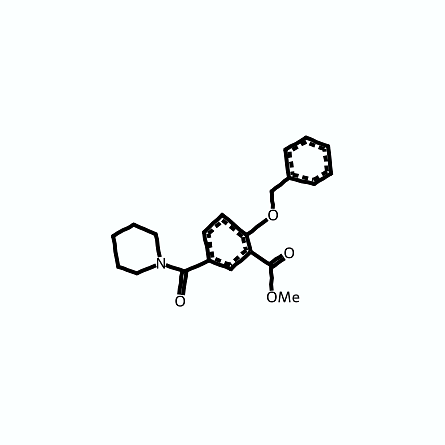 COC(=O)c1cc(C(=O)N2CCCCC2)ccc1OCc1ccccc1